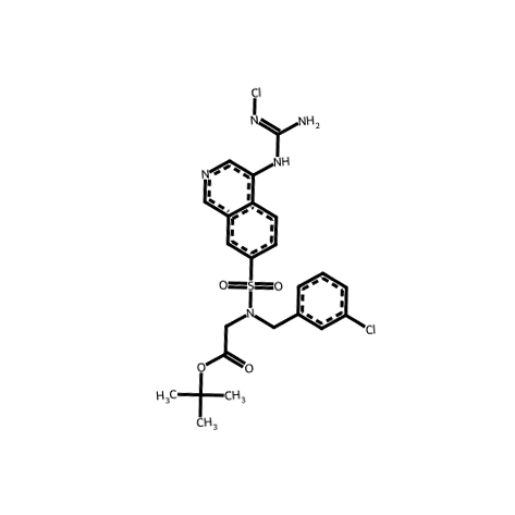 CC(C)(C)OC(=O)CN(Cc1cccc(Cl)c1)S(=O)(=O)c1ccc2c(NC(N)=NCl)cncc2c1